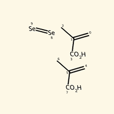 C=C(C)C(=O)O.C=C(C)C(=O)O.[Se]=[Se]